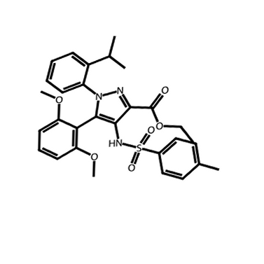 CCOC(=O)c1nn(-c2ccccc2C(C)C)c(-c2c(OC)cccc2OC)c1NS(=O)(=O)c1ccc(C)cc1